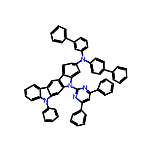 c1ccc(-c2ccc(N(c3cccc(-c4ccccc4)c3)c3ccc4c5cc6c7ccccc7n(-c7ccccc7)c6cc5n(-c5nc(-c6ccccc6)cc(-c6ccccc6)n5)c4c3)cc2)cc1